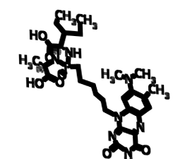 CCC(CC)[C@H](NP(=O)(CCCCCCn1c2nc(=O)[nH]c(=O)c-2nc2cc(C)c(N(C)C)cc21)N[C@@H](C)C(=O)O)C(=O)O